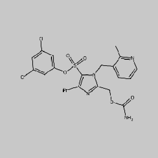 Cc1ncccc1Cn1c(COC(N)=O)nc(C(C)C)c1S(=O)(=O)Oc1cc(Cl)cc(Cl)c1